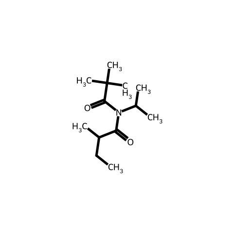 CCC(C)C(=O)N(C(=O)C(C)(C)C)C(C)C